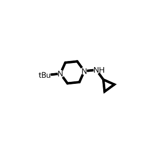 CC(C)(C)N1CCN(NC2CC2)CC1